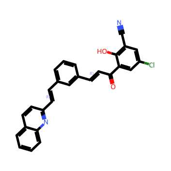 N#Cc1cc(Cl)cc(C(=O)/C=C/c2cccc(/C=C/c3ccc4ccccc4n3)c2)c1O